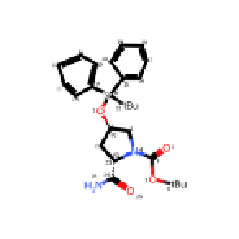 CC(C)(C)OC(=O)N1C[C@H](O[Si](c2ccccc2)(c2ccccc2)C(C)(C)C)C[C@H]1C(N)=O